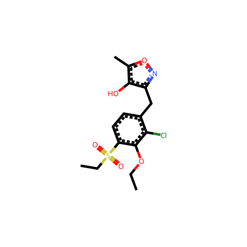 CCOc1c(S(=O)(=O)CC)ccc(Cc2noc(C)c2O)c1Cl